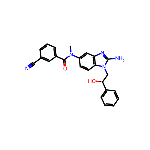 CN(C(=O)c1cccc(C#N)c1)c1ccc2c(c1)nc(N)n2C[C@H](O)c1ccccc1